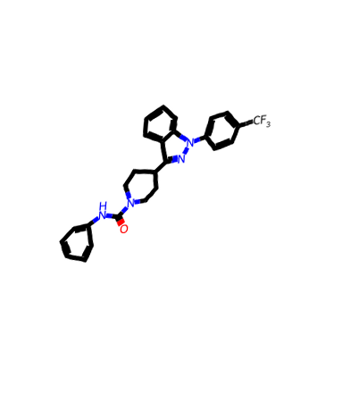 O=C(Nc1ccccc1)N1CCC(c2nn(-c3ccc(C(F)(F)F)cc3)c3ccccc23)CC1